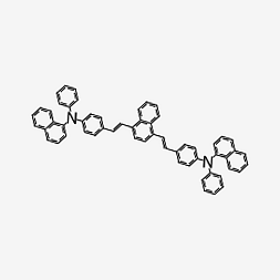 C(=C\c1ccc(/C=C/c2ccc(N(c3ccccc3)c3cccc4ccccc34)cc2)c2ccccc12)/c1ccc(N(c2ccccc2)c2cccc3ccccc23)cc1